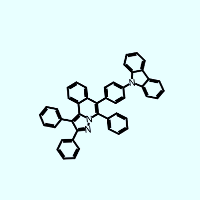 c1ccc(-c2nn3c(-c4ccccc4)c(-c4ccc(-n5c6ccccc6c6ccccc65)cc4)c4ccccc4c3c2-c2ccccc2)cc1